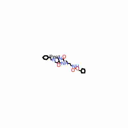 CCCC(C)N1C(=O)[C@H](CCCCNC(=O)OCc2ccccc2)NC(=O)C12CCN(CCc1ccccc1)CC2